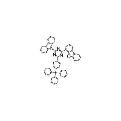 c1ccc(C(c2ccccc2)(c2ccccc2)c2ccc(-c3nc(-c4cccc5c4oc4ccccc45)nc(-n4c5ccccc5c5ccccc54)n3)cc2)cc1